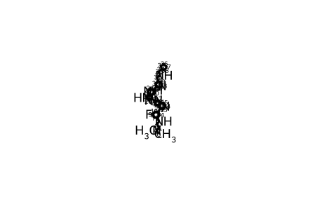 CN(C)CCNc1cc(F)cc(-c2cncc3[nH]c(-c4n[nH]c5ncc(-c6cncc(CNCC7CCCC7)c6)cc45)cc23)c1